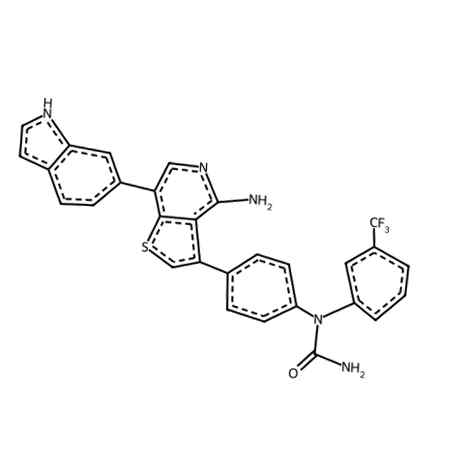 NC(=O)N(c1ccc(-c2csc3c(-c4ccc5cc[nH]c5c4)cnc(N)c23)cc1)c1cccc(C(F)(F)F)c1